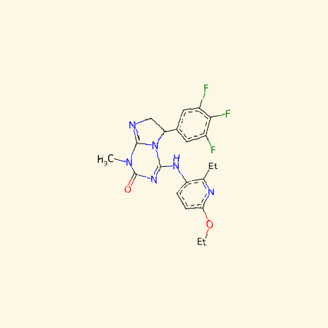 CCOc1ccc(NC2=NC(=O)N(C)C3=NCC(c4cc(F)c(F)c(F)c4)N23)c(CC)n1